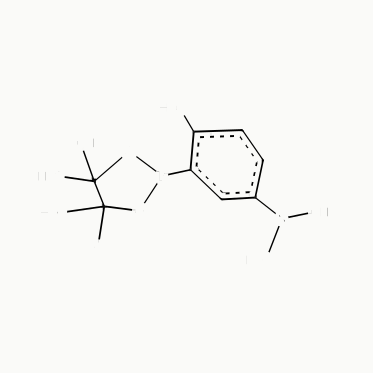 Cc1ccc(N(C)C)cc1B1OC(C)(C)C(C)(C)O1